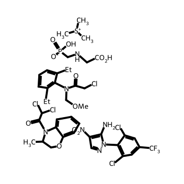 CC1COc2ccccc2N1C(=O)C(Cl)Cl.CCc1cccc(CC)c1N(COC)C(=O)CCl.C[S+](C)C.Nc1c([N+](=O)[O-])cnn1-c1c(Cl)cc(C(F)(F)F)cc1Cl.O=C(O)CNCP(=O)([O-])O